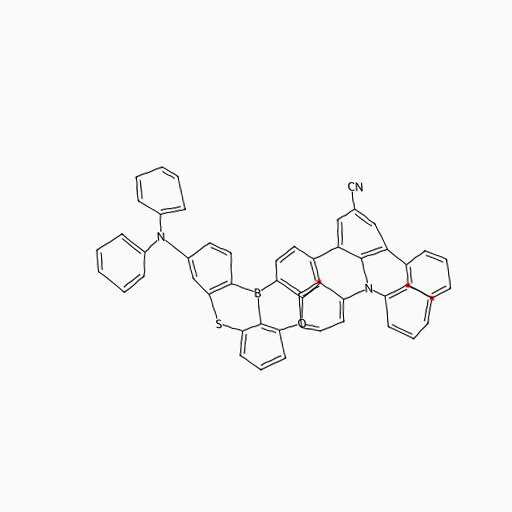 N#Cc1cc(-c2ccccc2)c(N(c2ccccc2)c2ccccc2)c(-c2ccc3c(c2)Oc2cccc4c2B3c2ccc(N(c3ccccc3)c3ccccc3)cc2S4)c1